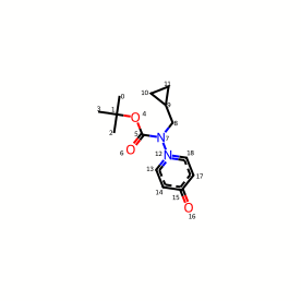 CC(C)(C)OC(=O)N(CC1CC1)n1ccc(=O)cc1